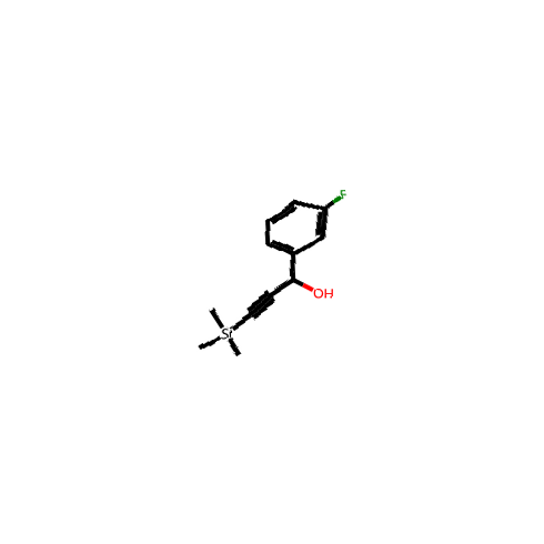 C[Si](C)(C)C#CC(O)c1cccc(F)c1